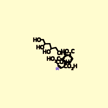 O=C(O)/C=C\C(=O)O.O=C(O)c1ccccc1C(=O)O.OCC(O)CC(O)CO